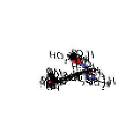 C=C1/C=C\C2=C(C/C=C(S(=O)(=O)O)\C=C/1S(=O)(=O)O)C(C)(C)C(/C=C/C=C/C=C1\N(CC)c3ccc4c(S(=O)(=O)O)cc(S(=O)(=O)O)cc4c3C1(C)C)=[N+]2CCCCCC(=O)NCCOCCOCCOCCn1cc(CN([C@@H](C(=O)NO)C(C)C)S(=O)(=O)c2ccc(OC)cc2)nn1